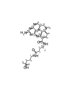 C[C@H](CCC(=O)NCCC[Si](C)(C)O)NC(=O)c1ccc(N(C)Cc2cnc3nc(N)nc(N)c3n2)cc1